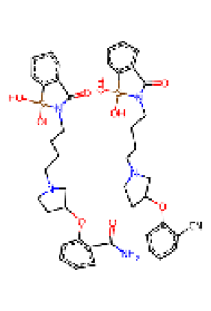 N#Cc1ccccc1OC1CCN(CCCCN2C(=O)c3ccccc3S2(O)O)C1.NC(=O)c1ccccc1OC1CCN(CCCCN2C(=O)c3ccccc3S2(O)O)C1